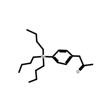 CCC[CH2][Sn]([CH2]CCC)([CH2]CCC)[c]1ccc(CC(C)=O)cc1